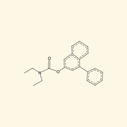 CCN(CC)C(=O)Oc1cc(-c2ccccc2)c2ccccc2c1